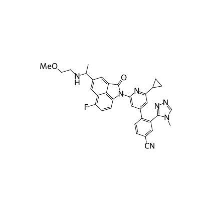 COCCNC(C)c1cc2c3c(ccc(F)c3c1)N(c1cc(-c3ccc(C#N)cc3-c3nncn3C)cc(C3CC3)n1)C2=O